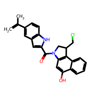 C=C(C)c1ccc2[nH]c(C(=O)N3CC(CCl)c4c3cc(O)c3ccccc43)cc2c1